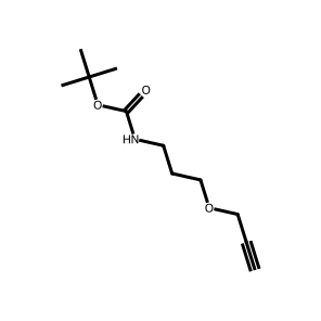 C#CCOCCCNC(=O)OC(C)(C)C